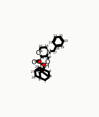 COC(=O)C12CC3CC(C1)C(NC(=O)[C@H]1CN(Cc4ccccc4)CCO1)C(C3)C2